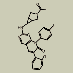 CC(=O)N1CC2C(C1)C2Nc1ncc2cc(-c3ccccc3Cl)c(=O)n(-c3ccc(F)cc3)c2n1